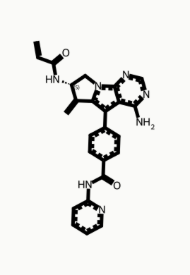 C=CC(=O)N[C@@H]1Cn2c(c(-c3ccc(C(=O)Nc4ccccn4)cc3)c3c(N)ncnc32)C1=C